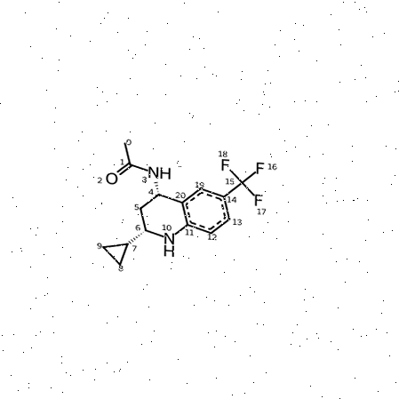 CC(=O)N[C@H]1C[C@@H](C2CC2)Nc2ccc(C(F)(F)F)cc21